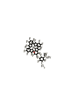 CCC[PH+](CC)c1c(F)c(C)c(F)c(F)c1F.FC1=C(F)[CH]([Al-]([CH]2C(F)=C(F)c3c2cc(F)c(F)c3F)([CH]2C(F)=C(F)c3c2cc(F)c(F)c3F)[CH]2C(F)=C(F)c3c2cc(F)c(F)c3F)c2cc(F)c(F)c(F)c21